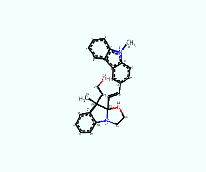 Cn1c2ccccc2c2cc(C=CC34OCCN3c3ccccc3C4(C)CCO)ccc21